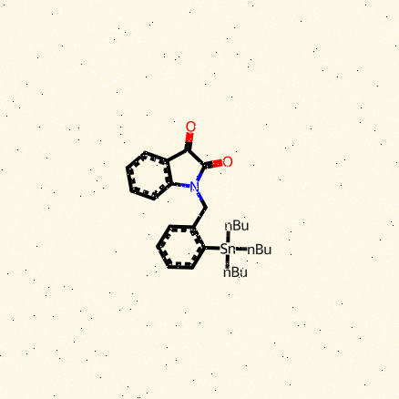 CCC[CH2][Sn]([CH2]CCC)([CH2]CCC)[c]1ccccc1CN1C(=O)C(=O)c2ccccc21